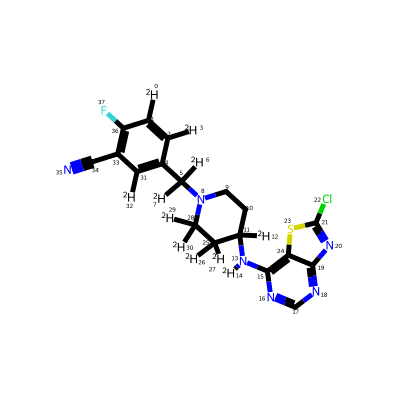 [2H]c1c([2H])c(C([2H])([2H])N2CCC([2H])(N([2H])c3ncnc4nc(Cl)sc34)C([2H])([2H])C2([2H])[2H])c([2H])c(C#N)c1F